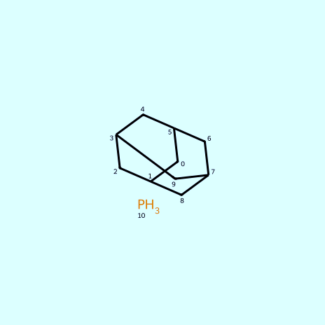 C1C2CC3CC1CC(C2)C3.P